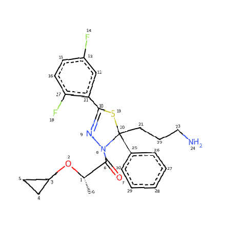 C[C@H](OC1CC1)C(=O)N1N=C(c2cc(F)ccc2F)SC1(CCCN)c1ccccc1